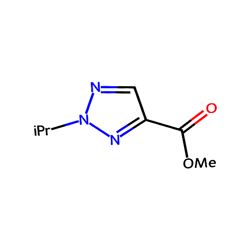 COC(=O)c1cnn(C(C)C)n1